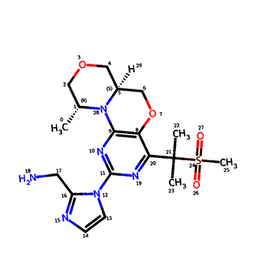 C[C@@H]1COC[C@H]2COc3c(nc(-n4ccnc4CN)nc3C(C)(C)S(C)(=O)=O)N21